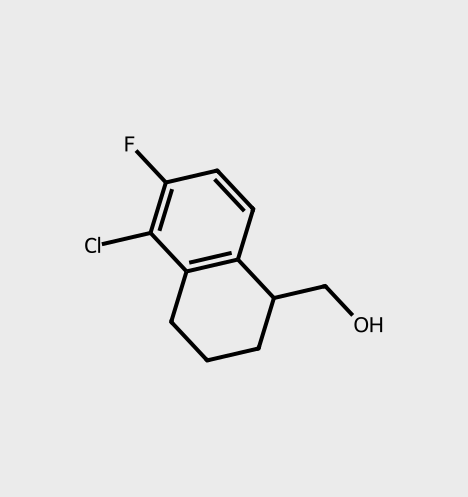 OCC1CCCc2c1ccc(F)c2Cl